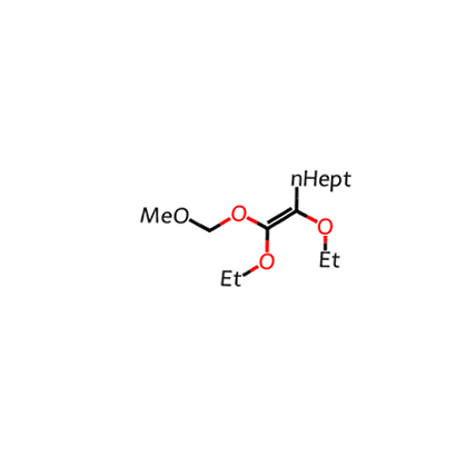 CCCCCCCC(OCC)=C(OCC)OCOC